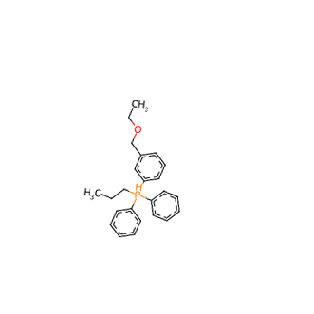 CCC[PH](c1ccccc1)(c1ccccc1)c1cccc(COCC)c1